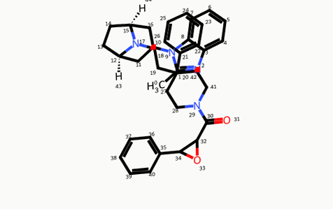 Cc1nc2ccccc2n1C1C[C@H]2CC[C@@H](C1)N2CCC1(c2ccccc2)CCN(C(=O)C2OC2c2ccccc2)CC1